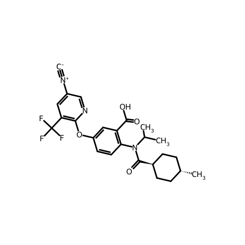 [C-]#[N+]c1cnc(Oc2ccc(N(C(=O)[C@H]3CC[C@H](C)CC3)C(C)C)c(C(=O)O)c2)c(C(F)(F)F)c1